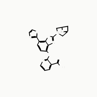 O=C(O)c1cccnc1Oc1ccc(-c2nccs2)c2oc(N3CC4CC(C3)N4)nc12